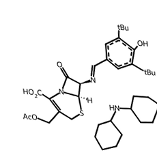 C1CCC(NC2CCCCC2)CC1.CC(=O)OCC1=C(C(=O)O)N2C(=O)[C@@H](/N=C/c3cc(C(C)(C)C)c(O)c(C(C)(C)C)c3)[C@H]2SC1